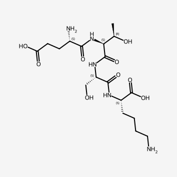 C[C@@H](O)[C@H](NC(=O)[C@@H](N)CCC(=O)O)C(=O)N[C@@H](CO)C(=O)N[C@@H](CCCCN)C(=O)O